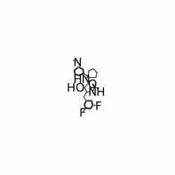 CC(=O)NC(Cc1cc(F)cc(F)c1)C(O)CNC1(c2cccc(N(C)C)c2)CCCCC1